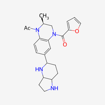 CC(=O)N1c2ccc(C3CCC4NCCC4N3)cc2N(C(=O)c2ccco2)C[C@@H]1C